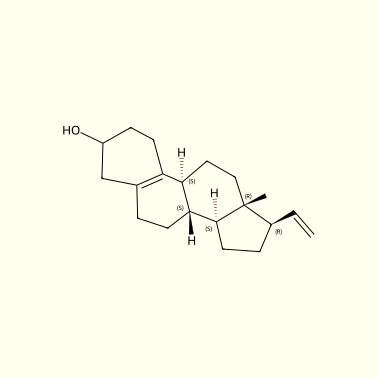 C=C[C@H]1CC[C@H]2[C@@H]3CCC4=C(CCC(O)C4)[C@H]3CC[C@]12C